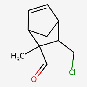 CC1(C=O)C2C=CC(C2)C1CCl